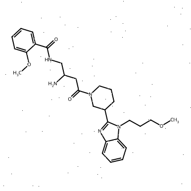 COCCCn1c(C2CCCN(C(=O)CC(N)CNC(=O)c3ccccc3OC)C2)nc2ccccc21